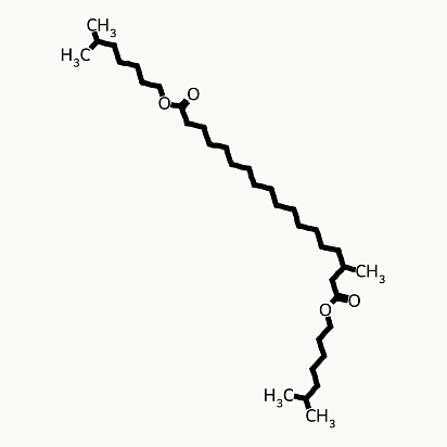 CC(C)CCCCCOC(=O)CCCCCCCCCCCCCCC(C)CC(=O)OCCCCCC(C)C